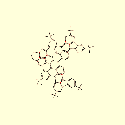 CC(C)(C)c1cc(-c2ccccc2)c(N2c3cc(-n4c5ccc(C(C)(C)C)cc5c5cc(C(C)(C)C)ccc54)ccc3B3c4ccc(-n5c6ccc(C(C)(C)C)cc6c6cc(C(C)(C)C)ccc65)cc4N(c4c(-c5ccccc5)cc(C(C)(C)C)cc4-c4ccccc4)c4cc(C5CCCCC5)cc2c43)c(-c2ccccc2)c1